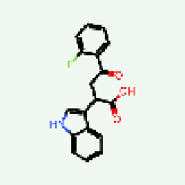 O=C(CC(C(=O)O)c1c[nH]c2ccccc12)c1ccccc1F